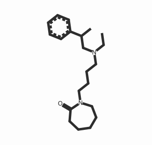 CCN(CCCCN1CCCCCC1=O)CC(C)c1ccccc1